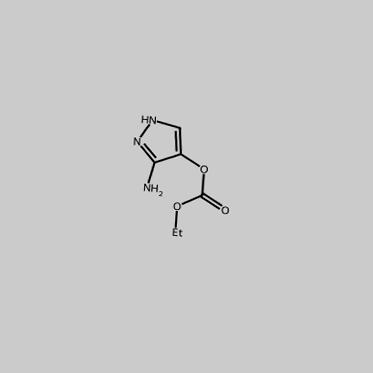 CCOC(=O)Oc1c[nH]nc1N